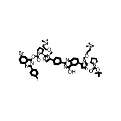 CC(C)(C)OC(=O)N1CCC[C@H]1c1ncc(-c2ccc3nc(-c4ccc(-c5cnc([C@@H]6CCCN6C(=O)Oc6nc(-c7ccc(I)cc7)nc7ccc(Br)cc67)n5COCC[Si](C)(C)C)cc4)nc(O)c3c2)n1COCC[Si](C)(C)C